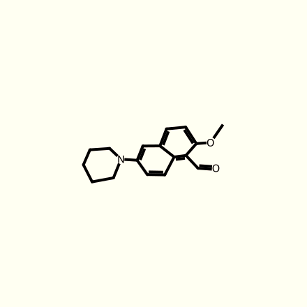 COc1ccc2cc(N3CCCCC3)ccc2c1C=O